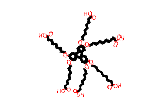 O=C(O)CCCCCCCCOc1cc2c3cc(OCCCCCCCCC(=O)O)c(OCCCCCCCCC(=O)O)cc3c3cc(OCCCCCCCCC(=O)O)c(OCCCCCCCCC(=O)O)cc3c2cc1OCCCCCCCCC(=O)O